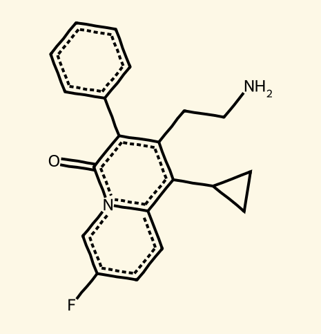 NCCc1c(-c2ccccc2)c(=O)n2cc(F)ccc2c1C1CC1